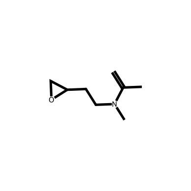 C=C(C)N(C)CCC1CO1